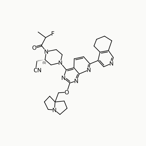 CC(F)C(=O)N1CCN(c2nc(OCC34CCCN3CCC4)nc3nc(-c4cncc5c4CCCC5)ccc23)C[C@@H]1CC#N